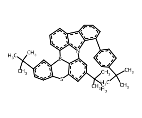 CC(C)(C)c1ccc(-c2cccc3c4cccc5c4n(c23)-c2cc(C(C)(C)C)cc3c2B5c2cc(C(C)(C)C)ccc2S3)cc1